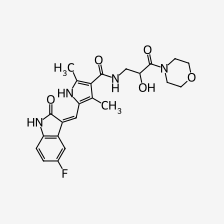 Cc1[nH]c(/C=C2\C(=O)Nc3ccc(F)cc32)c(C)c1C(=O)NCC(O)C(=O)N1CCOCC1